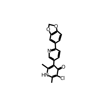 Cc1[nH]c(C)c(-c2ccc(-c3ccc4c(c3)OCO4)nc2)c(=O)c1Cl